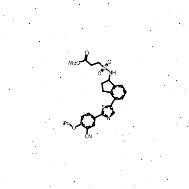 COC(=O)CCS(=O)(=O)NC1CCc2c(-c3cnc(-c4ccc(OC(C)C)c(C#N)c4)s3)cccc21